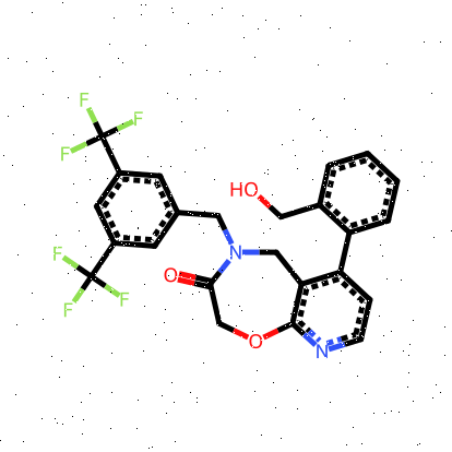 O=C1COc2nccc(-c3ccccc3CO)c2CN1Cc1cc(C(F)(F)F)cc(C(F)(F)F)c1